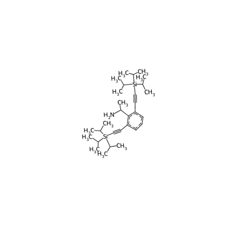 CC(N)c1c(C#C[Si](C(C)C)(C(C)C)C(C)C)cccc1C#C[Si](C(C)C)(C(C)C)C(C)C